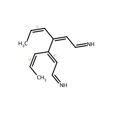 C/C=C\C(=CC=N)C(/C=C\C)=C/C=N